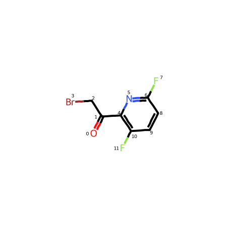 O=C(CBr)c1nc(F)ccc1F